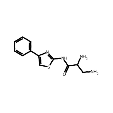 NCC(N)C(=O)Nc1nc(-c2ccccc2)cs1